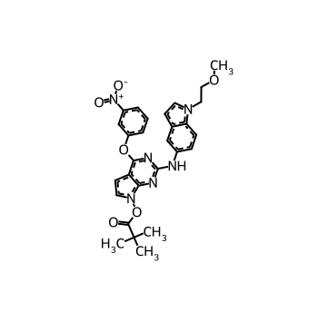 COCCn1ccc2cc(Nc3nc(Oc4cccc([N+](=O)[O-])c4)c4ccn(OC(=O)C(C)(C)C)c4n3)ccc21